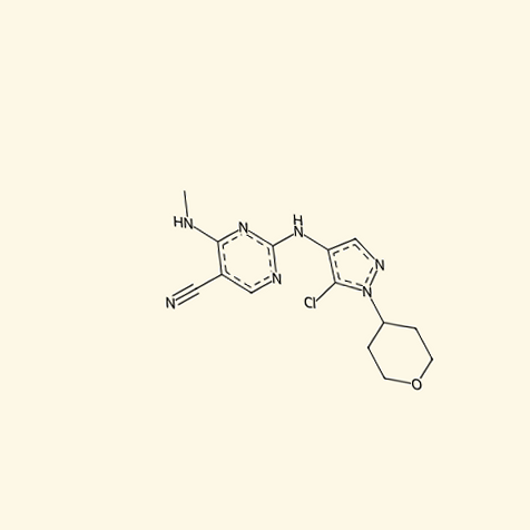 CNc1nc(Nc2cnn(C3CCOCC3)c2Cl)ncc1C#N